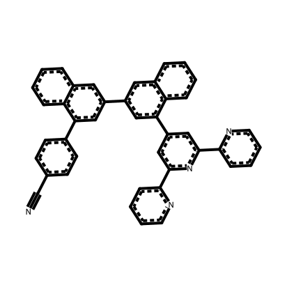 N#Cc1ccc(-c2cc(-c3cc(-c4cc(-c5ccccn5)nc(-c5ccccn5)c4)c4ccccc4c3)cc3ccccc23)cc1